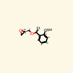 CCC(OC[C@H]1CO1)c1ccccc1OC